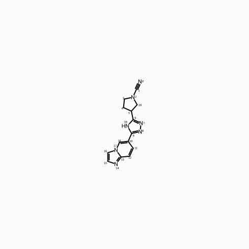 N#CN1CCC(c2nnc(-c3ccc4nccn4c3)[nH]2)C1